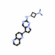 CN(C)[C@H]1C[C@H](Nc2ncc3c(-c4ccc5ncccc5n4)ccn3n2)C1